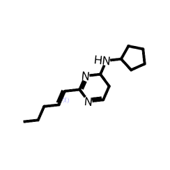 CCC/C=C/C1=NC(NC2CCCC2)CC=N1